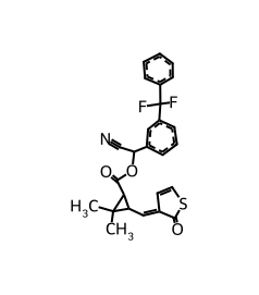 CC1(C)C(C=C2C=CSC2=O)C1C(=O)OC(C#N)c1cccc(C(F)(F)c2ccccc2)c1